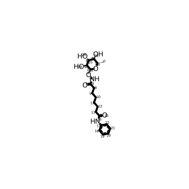 C[C@@H]1O[C@@H](ONC(=O)CCCCCCC(=O)Nc2ccccc2)[C@@H](O)[C@H](O)[C@@H]1O